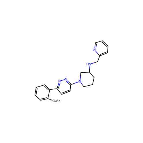 COc1ccccc1-c1ccc(N2CCCC(NCc3ccccn3)C2)nn1